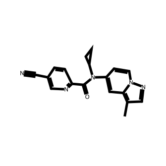 Cc1cnn2ccc(N(C(=O)c3ccc(C#N)cn3)C3CC3)cc12